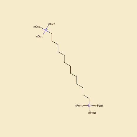 CCCCCCCC[N+](CCCCCCCC)(CCCCCCCC)CCCCCCCCCCCCC[N+](CCCCC)(CCCCC)CCCCC